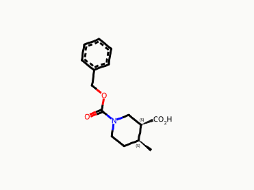 C[C@H]1CCN(C(=O)OCc2ccccc2)C[C@H]1C(=O)O